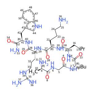 CC[C@@H](C)[C@@H](NC(=O)CNC(=O)[C@@H](C)N)C(=O)N[C@H](CC(C)C)C(=O)N[C@H](CCCCN)C(=O)N[C@H](CCCNC(=N)N)C(=O)N[C@H](Cc1c[nH]c2ccccc12)C(N)=O